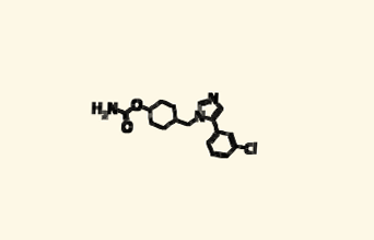 NC(=O)OC1CCC(Cn2cncc2-c2cccc(Cl)c2)CC1